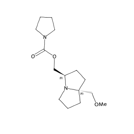 COC[C@]12CCCN1[C@@H](COC(=O)N1CCCC1)CC2